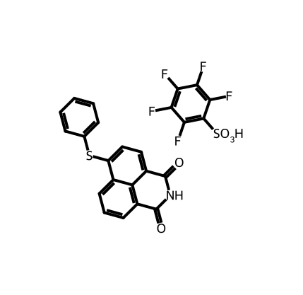 O=C1NC(=O)c2ccc(Sc3ccccc3)c3cccc1c23.O=S(=O)(O)c1c(F)c(F)c(F)c(F)c1F